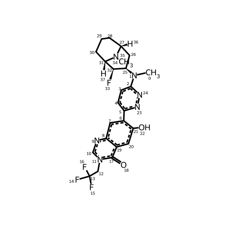 CN(c1ccc(-c2cc3ncn(CC(F)(F)F)c(=O)c3cc2O)nn1)[C@@H]1C[C@H]2CCC[C@@H]([C@@H]1F)N2C